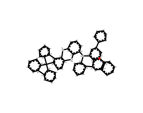 c1ccc(-c2cc(-c3ccccc3)cc(N(c3ccccc3-c3ccccc3)c3cccc4c3Oc3ccc5c(c3O4)-c3ccccc3C53c4ccccc4-c4ccccc43)c2)cc1